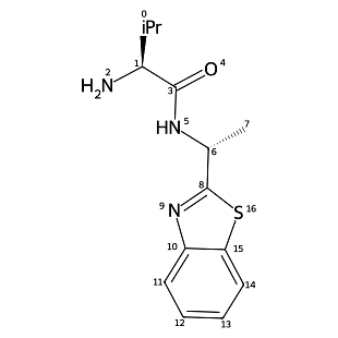 CC(C)[C@H](N)C(=O)N[C@H](C)c1nc2ccccc2s1